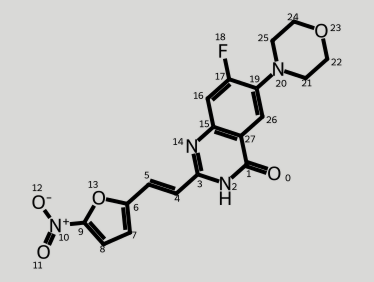 O=c1[nH]c(C=Cc2ccc([N+](=O)[O-])o2)nc2cc(F)c(N3CCOCC3)cc12